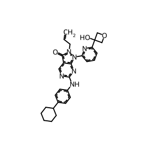 C=CCn1c(=O)c2cnc(Nc3ccc(C4CCCCC4)cc3)nc2n1-c1cccc(C2(O)COC2)n1